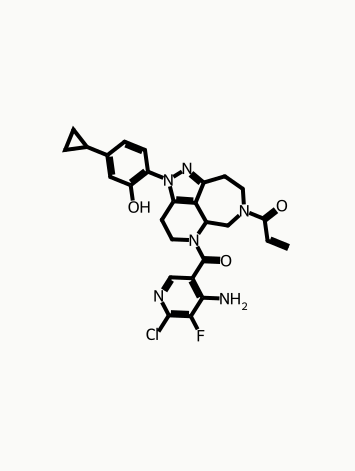 C=CC(=O)N1CCc2nn(-c3ccc(C4CC4)cc3O)c3c2C(C1)N(C(=O)c1cnc(Cl)c(F)c1N)CC3